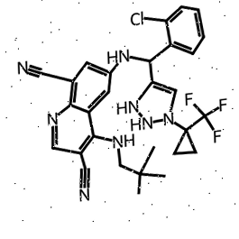 CC(C)(C)CNc1c(C#N)cnc2c(C#N)cc(NC(C3=CN(C4(C(F)(F)F)CC4)NN3)c3ccccc3Cl)cc12